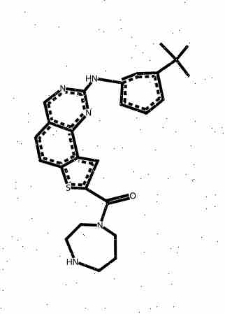 CC(C)(C)c1cccc(Nc2ncc3ccc4sc(C(=O)N5CCCNCC5)cc4c3n2)c1